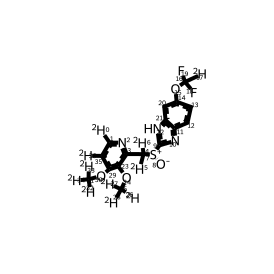 [2H]c1nc(C([2H])([2H])[S+]([O-])c2nc3ccc(OC([2H])(F)F)cc3[nH]2)c(OC([2H])([2H])[2H])c(OC([2H])([2H])[2H])c1[2H]